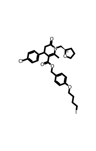 CC1=C(C(=O)OCc2ccc(OCCCCI)cc2)C(c2ccc(Cl)cc2)CC(=O)N1C[C@H]1CCCO1